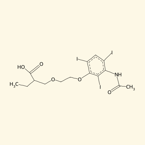 CCC(COCCOc1c(I)cc(I)c(NC(C)=O)c1I)C(=O)O